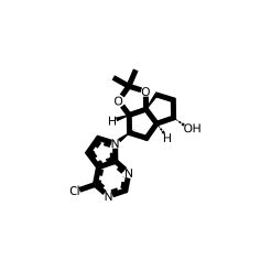 CC1(C)O[C@H]2[C@H](n3ccc4c(Cl)ncnc43)C[C@@H]3[C@@H](O)CC[C@@]32O1